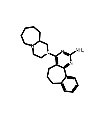 Nc1nc2c(c(N3CCN4CCCCCC4C3)n1)CCCc1ccccc1-2